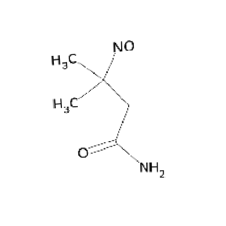 CC(C)(CC(N)=O)N=O